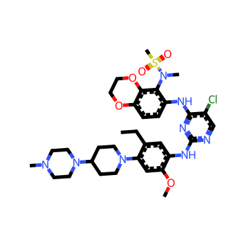 CCc1cc(Nc2ncc(Cl)c(Nc3ccc4c(c3N(C)S(C)(=O)=O)OCCO4)n2)c(OC)cc1N1CCC(N2CCN(C)CC2)CC1